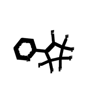 FC1=C(c2ccccn2)C(F)(F)C(F)(F)C1(F)F